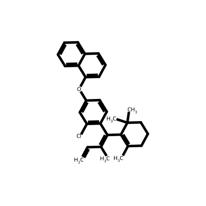 C=CC(C)=C(C1=C(C)CCCC1(C)C)c1ccc(Oc2cccc3ccccc23)cc1Cl